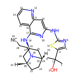 CC(C)(O)c1cnc(Nc2cc3ncccc3c(N[C@@H]3C[C@H]4CC[C@@H](C3)N4CCC#N)n2)s1